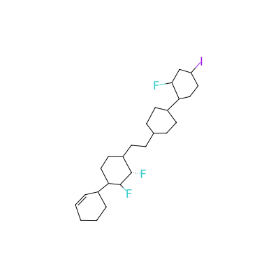 FC1CC(I)CCC1C1CCC(CCC2CCC(C3C=CCCC3)C(F)[C@H]2F)CC1